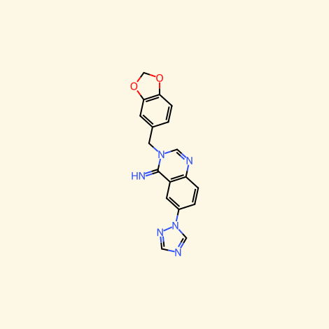 N=c1c2cc(-n3cncn3)ccc2ncn1Cc1ccc2c(c1)OCO2